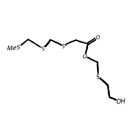 CSCSCSCC(=O)OCSCCO